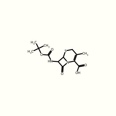 CC1=C(C(=O)O)N2C(=O)C(NC(=O)OC(C)(C)C)C2SC1